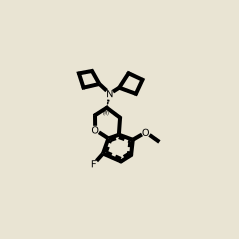 COc1ccc(F)c2c1C[C@@H](N(C1CCC1)C1CCC1)CO2